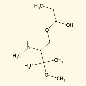 CCP(O)OCC(NC)C(C)(C)OC